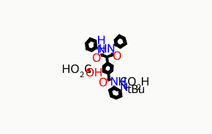 CC(C)(C)N(C(=O)O)c1ccccc1NC(=O)c1ccc(C(C(=O)Nc2ccccc2)C(=O)Nc2ccccc2)cc1.O=C(O)O